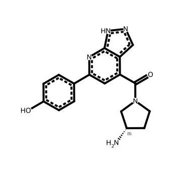 N[C@H]1CCN(C(=O)c2cc(-c3ccc(O)cc3)nc3[nH]ncc23)C1